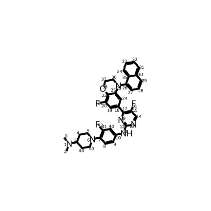 CN(C)C1CCN(c2ccc(Nc3ncc(F)c(-c4cc(F)c5c(c4)N(c4cccc6ccccc46)CCO5)n3)cc2F)CC1